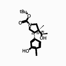 Cc1ccc([C@@H]2CN(C(=O)OC(C)(C)C)C[C@@]2(C)[C@@H](C)O)cc1O